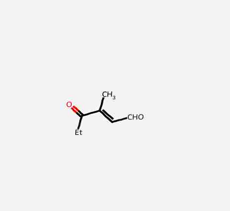 CCC(=O)C(C)=CC=O